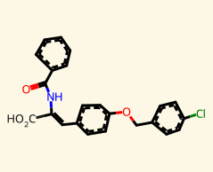 O=C(O)C(=Cc1ccc(OCc2ccc(Cl)cc2)cc1)NC(=O)c1ccccc1